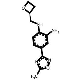 Nc1cc(-c2noc(C(F)(F)F)n2)ccc1NC[C@@H]1CCO1